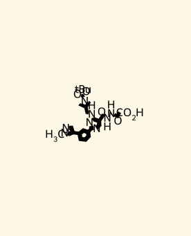 Cn1cc(-c2cccc(-c3ncc(C(=O)NNC(=O)C(=O)O)c(NCC4CN(C(=O)OC(C)(C)C)C4)n3)c2)cn1